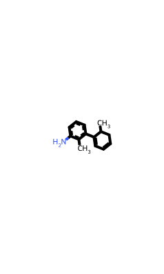 Cc1c(N)cccc1C1=CC=CCC1C